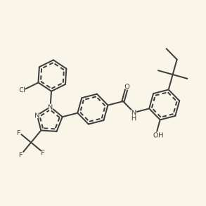 CCC(C)(C)c1ccc(O)c(NC(=O)c2ccc(-c3cc(C(F)(F)F)nn3-c3ccccc3Cl)cc2)c1